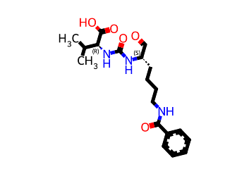 CC(C)[C@@H](NC(=O)N[C@H](C=O)CCCCNC(=O)c1ccccc1)C(=O)O